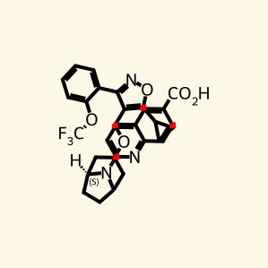 O=C(O)c1ccc2nc(N3C4CC[C@H]3CC(OCc3c(-c5ccccc5OC(F)(F)F)noc3C3CC3)C4)ccc2c1